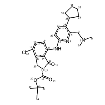 CN(C)Cc1nc(Nc2ccc(Cl)c3c2C(=O)N(C(=O)OC(C)(C)C)C3)ccc1C1CCCC1